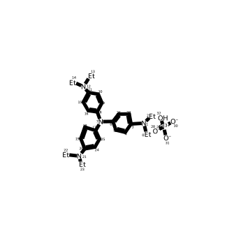 CCN(CC)c1ccc(N(c2ccc(N(CC)CC)cc2)c2ccc(N(CC)CC)cc2)cc1.[O-][Cl+3]([O-])([O-])O